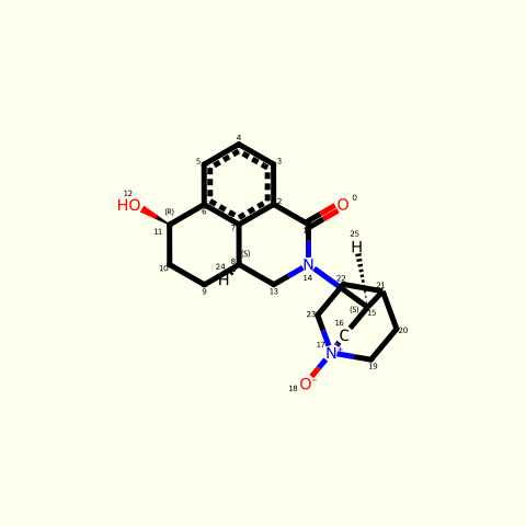 O=C1c2cccc3c2[C@H](CC[C@H]3O)CN1[C@@H]1C[N+]2([O-])CCC1CC2